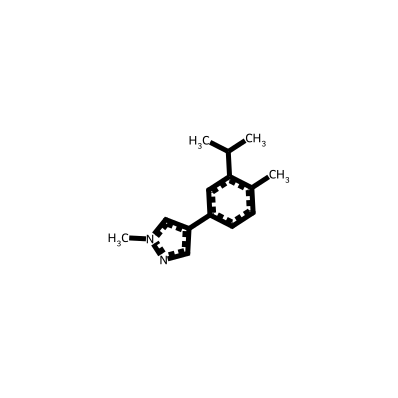 Cc1ccc(-c2cnn(C)c2)cc1C(C)C